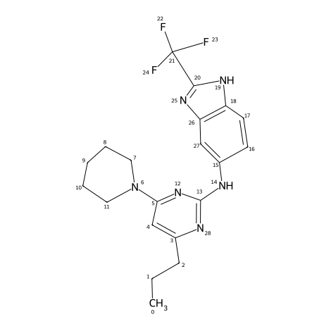 CCCc1cc(N2CCCCC2)nc(Nc2ccc3[nH]c(C(F)(F)F)nc3c2)n1